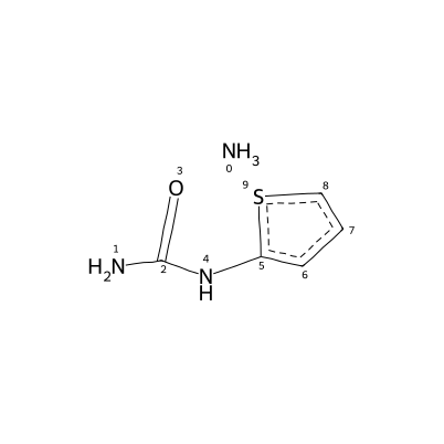 N.NC(=O)Nc1cccs1